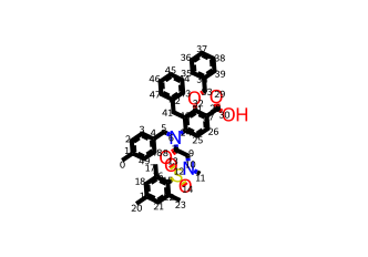 Cc1ccc(CN(C(=O)CN(C)S(=O)(=O)c2c(C)cc(C)cc2C)c2ccc(C(=O)O)c(OCc3ccccc3)c2Cc2ccccc2)cc1